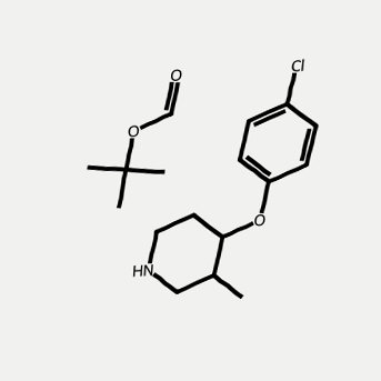 CC(C)(C)OC=O.CC1CNCCC1Oc1ccc(Cl)cc1